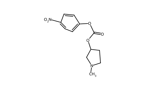 CN1CCC(OC(=O)Oc2ccc([N+](=O)[O-])cc2)C1